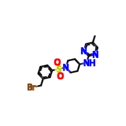 Cc1cnc(NC2CCN(S(=O)(=O)c3cccc(CBr)c3)CC2)nc1